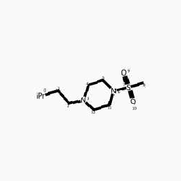 CC(C)CCN1CCN(S(C)(=O)=O)CC1